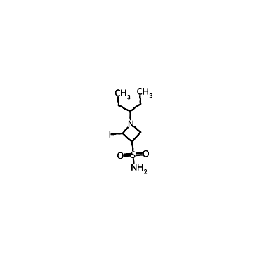 CCC(CC)N1CC(S(N)(=O)=O)C1I